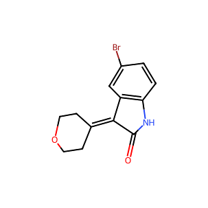 O=C1Nc2ccc(Br)cc2C1=C1CCOCC1